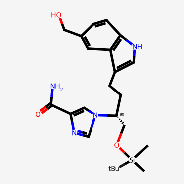 CC(C)(C)[Si](C)(C)OC[C@@H](CCc1c[nH]c2ccc(CO)cc12)n1cnc(C(N)=O)c1